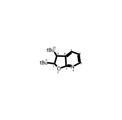 CC(C)(C)C1Oc2ncccc2C1C(C)(C)C